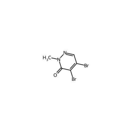 Cn1ncc(Br)c(Br)c1=O